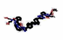 COC(=O)NC(C)C(=O)N1CCC[C@H]1c1ncc(-c2ccc(/C=C/c3ccc(-c4cnc([C@@H]5CCCN5C(=O)[C@H](NC(=O)N(CCO)CCO)c5ccccc5)[nH]4)cc3)cc2)[nH]1